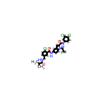 CC(C)C(=O)NCc1ccc(Cl)c(C(=O)Nc2ccc3c(c2)cc(C(=O)Nc2ccc(Cl)c(Cl)c2)n3CC(F)F)c1